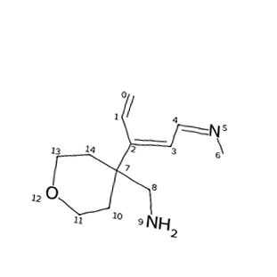 C=C/C(=C\C=N/C)C1(CN)CCOCC1